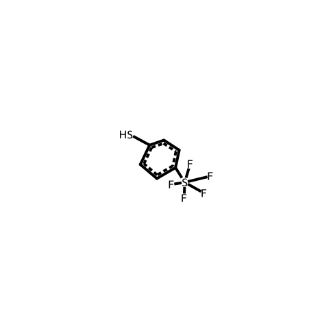 FS(F)(F)(F)(F)c1ccc(S)cc1